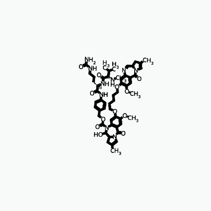 CN[C@H](C(=O)N[C@@H](CCCNC(N)=O)C(=O)Nc1ccc(COC(=O)N2c3cc(OCCCCCOc4cc5c(cc4OC)C(=O)N4C=C(C)CC4C=N5)c(OC)cc3C(=O)N3C=C(C)CC3C2O)cc1)C(C)C